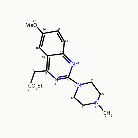 CCOC(=O)Cc1nc(N2CCN(C)CC2)nc2ccc(OC)cc12